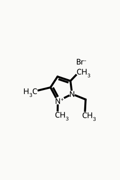 CCn1c(C)cc(C)[n+]1C.[Br-]